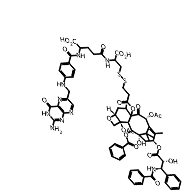 CC(=O)O[C@H]1C(=O)C2(OC(=O)CCSSCC(NC(=O)CCC(NC(=O)c3ccc(NCc4cnc5nc(N)[nH]c(=O)c5n4)cc3)C(=O)O)C(=O)O)C(C)C[C@H]3OC[C@@]3(OC(C)=O)C2[C@H](OC(=O)c2ccccc2)[C@]2(O)C[C@H](OC(=O)[C@H](O)[C@H](NC(=O)c3ccccc3)c3ccccc3)C(C)=C1C2(C)C